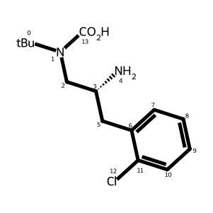 CC(C)(C)N(C[C@H](N)Cc1ccccc1Cl)C(=O)O